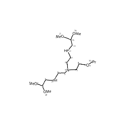 COC(CPCCN(CCOC(C)C)CCPCC(OC)OC)OC